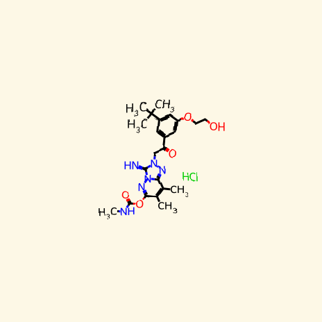 CNC(=O)Oc1nn2c(=N)n(CC(=O)c3cc(OCCO)cc(C(C)(C)C)c3)nc2c(C)c1C.Cl